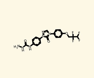 NNC(=O)Nc1ccc(-n2ncn(-c3ccc(OCC(F)(F)C(F)F)cc3)c2=O)cc1